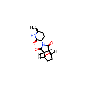 C=C1CC[C@H](N2C(=O)[C@@H]3[C@H](C2=O)[C@@H]2CC[C@H]3O2)C(=O)N1